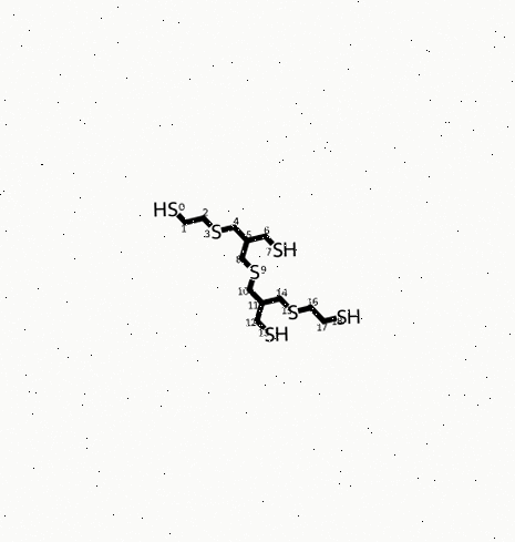 SCCSCC(CS)CSCC(CS)CSCCS